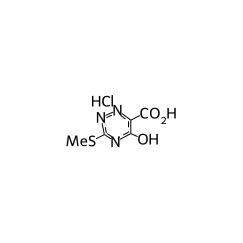 CSc1nnc(C(=O)O)c(O)n1.Cl